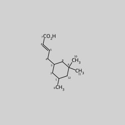 CC1CC(C/C=C/C(=O)O)CC(C)(C)C1